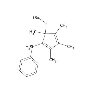 CC1=C(C)C(C)(CC(C)(C)C)C([SiH2]c2ccccc2)=C1C